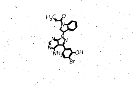 C=CC(=O)N1CC(n2nc(-c3ccc(Br)c(O)c3)c3c(N)ncnc32)c2ccccc21